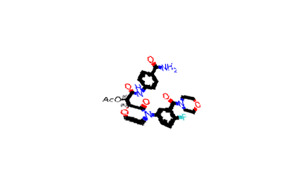 CC(=O)O[C@@H](C(=O)Nc1ccc(C(N)=O)cc1)[C@H]1OCCN(c2ccc(F)c(C(=O)N3CCOCC3)c2)C1=O